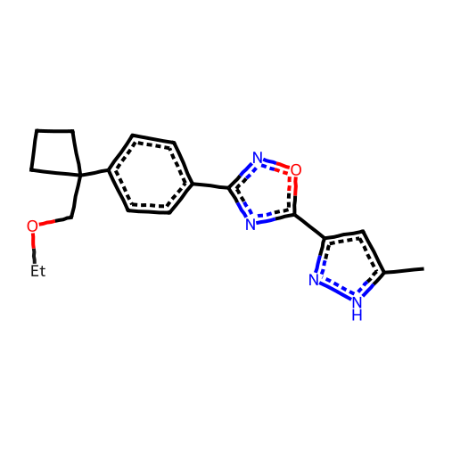 CCOCC1(c2ccc(-c3noc(-c4cc(C)[nH]n4)n3)cc2)CCC1